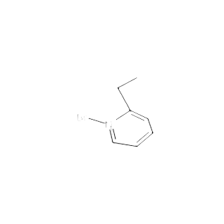 CCc1cccc[n+]1Br